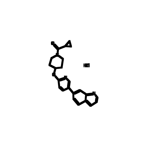 Cl.O=C(C1CC1)N1CCC(Oc2ccc(-c3ccc4cccnc4c3)cn2)CC1